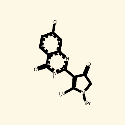 CC(C)N1CC(=O)C(c2nc3cc(Cl)ccc3c(=O)[nH]2)=C1N